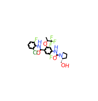 CC(Oc1cc(NC(=O)N2CCC[C@@H]2CO)c(F)cc1C(=O)Nc1c(F)cccc1Cl)C(F)(F)F